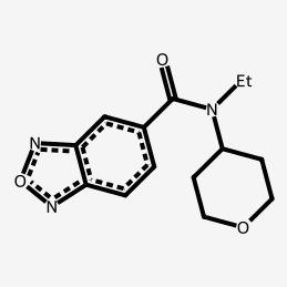 CCN(C(=O)c1ccc2nonc2c1)C1CCOCC1